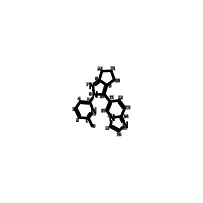 Cc1cccc(-n2nc3c(c2-c2ccc4nccn4c2)CCC3)n1